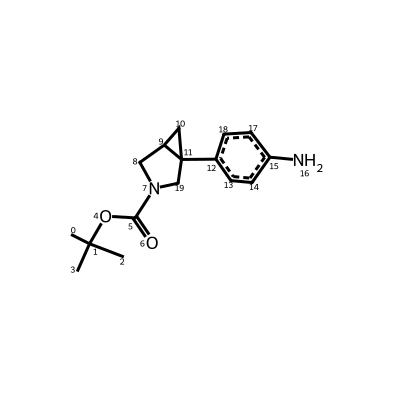 CC(C)(C)OC(=O)N1CC2CC2(c2ccc(N)cc2)C1